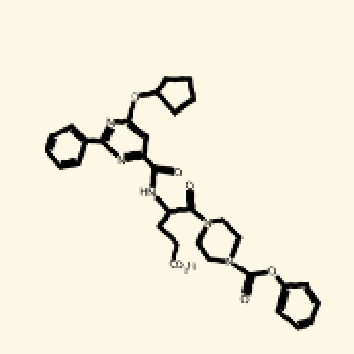 O=C(O)CCC(NC(=O)c1cc(OC2CCCC2)nc(-c2ccccc2)n1)C(=O)N1CCN(C(=O)Oc2ccccc2)CC1